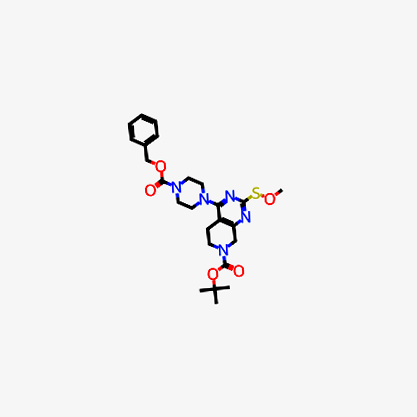 COSc1nc2c(c(N3CCN(C(=O)OCc4ccccc4)CC3)n1)CCN(C(=O)OC(C)(C)C)C2